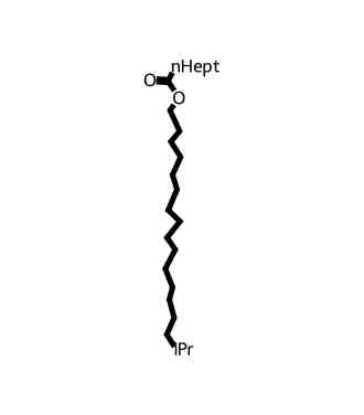 CCCCCCCC(=O)OCCCCCCCCCCCCCCCC(C)C